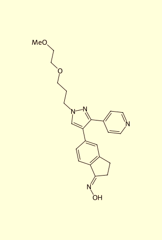 COCCOCCCn1cc(-c2ccc3c(c2)CC/C3=N\O)c(-c2ccncc2)n1